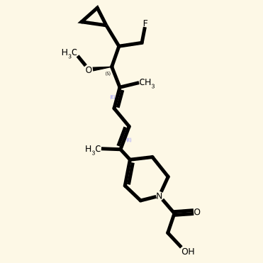 CO[C@H](/C(C)=C/C=C(\C)C1=CCN(C(=O)CO)CC1)C(CF)C1CC1